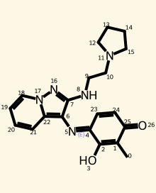 CC1=C(O)/C(=N/c2c(NCCN3CCCC3)nn3ccccc23)C=CC1=O